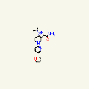 CC(C)n1nc(C(N)=O)c2c1CCN(c1ccc(C3CCCO3)cn1)C2